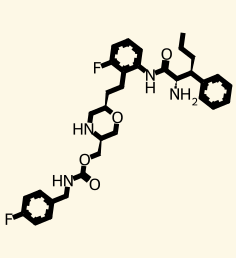 CCC[C@@H](c1ccccc1)[C@H](N)C(=O)Nc1cccc(F)c1CC[C@@H]1CN[C@H](COC(=O)NCc2ccc(F)cc2)CO1